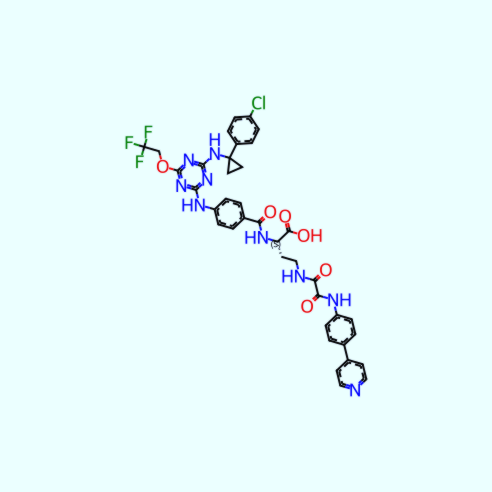 O=C(NCC[C@H](NC(=O)c1ccc(Nc2nc(NC3(c4ccc(Cl)cc4)CC3)nc(OCC(F)(F)F)n2)cc1)C(=O)O)C(=O)Nc1ccc(-c2ccncc2)cc1